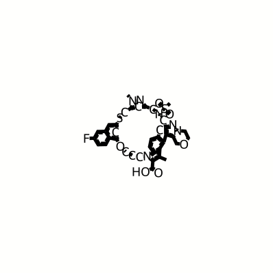 Cc1c(C(=O)O)n2c3ccc(Cl)c(c13)-c1c(nn3c1COCC3)CN(S(C)(=O)=O)Cc1cc(n(C)n1)CSc1cc(c3ccc(F)cc3c1)OCCC2